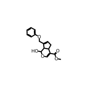 COC(=O)C1=COC(O)C2C(COc3ccccc3)=CCC12